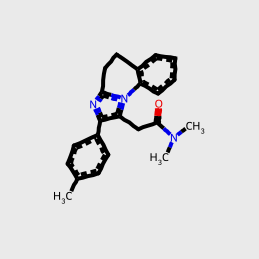 Cc1ccc(-c2nc3n(c2CC(=O)N(C)C)-c2ccccc2CC3)cc1